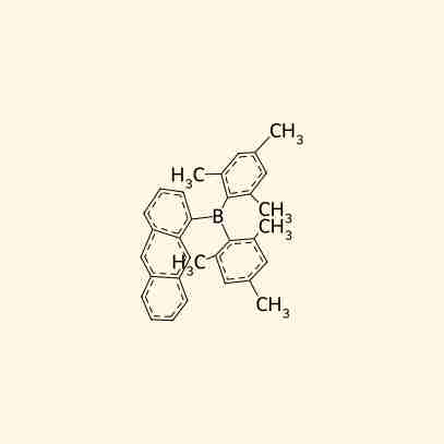 Cc1cc(C)c(B(c2c(C)cc(C)cc2C)c2cccc3cc4ccccc4cc23)c(C)c1